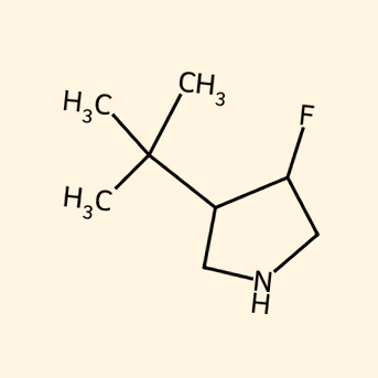 CC(C)(C)C1CNCC1F